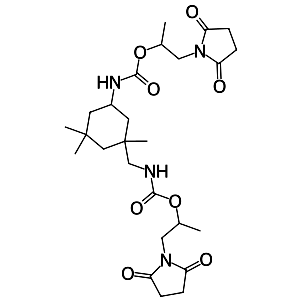 CC(CN1C(=O)CCC1=O)OC(=O)NCC1(C)CC(NC(=O)OC(C)CN2C(=O)CCC2=O)CC(C)(C)C1